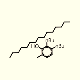 CCCCCCCCCCCCCCC.CCCCc1ccc(C)c(O)c1CCCC